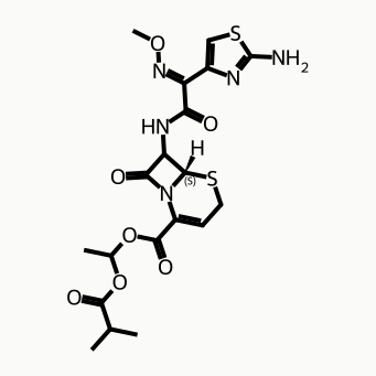 CON=C(C(=O)NC1C(=O)N2C(C(=O)OC(C)OC(=O)C(C)C)=CCS[C@@H]12)c1csc(N)n1